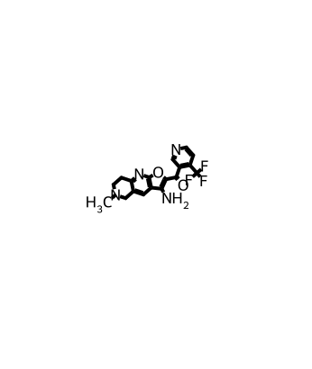 CN1CCc2nc3oc(C(=O)c4cnccc4C(F)(F)F)c(N)c3cc2C1